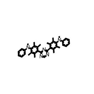 Cc1c(C)c(N(C)c2ccccc2)c(C)c(C)c1-c1ncnc(-c2c(C)c(C)c(N(C)c3ccccc3)c(C)c2C)n1